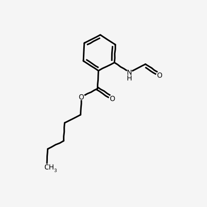 CCCCCOC(=O)c1ccccc1NC=O